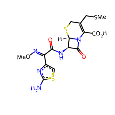 CO/N=C(/C(=O)N[C@@H]1C(=O)N2C(C(=O)O)=C(CSC)CS[C@H]12)c1csc(N)n1